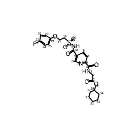 O=C(CNC(=O)c1ccc(C(=O)NS(=O)(=O)CCOc2ccc(F)cc2)cn1)OC1CCCCC1